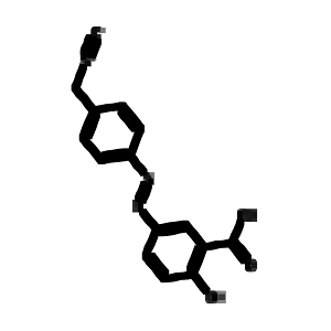 [C-]#[N+]Cc1ccc(N=Nc2ccc(O)c(C(=O)O)c2)cc1